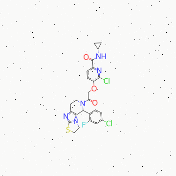 O=C(NC1CC1)c1ccc(OCC(=O)N2CCc3nc4n(c3C2c2ccc(Cl)cc2F)CCS4)c(Cl)n1